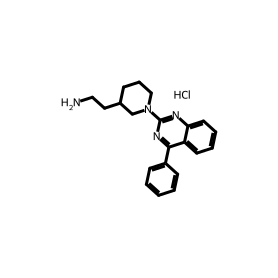 Cl.NCCC1CCCN(c2nc(-c3ccccc3)c3ccccc3n2)C1